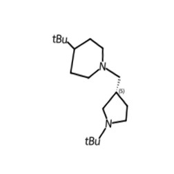 CC(C)(C)C1CCN(C[C@@H]2CCN(C(C)(C)C)C2)CC1